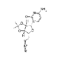 CC1(C)O[C@@H]2[C@H](O1)[C@H](n1ccc(N)nc1=O)O[C@@H]2CN=[N+]=[N-]